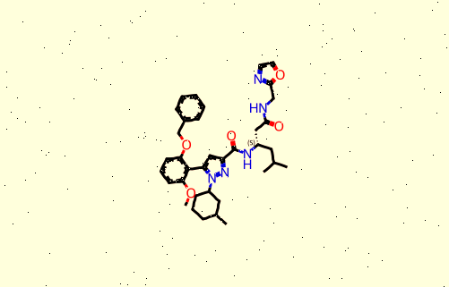 COc1cccc(OCc2ccccc2)c1-c1cc(C(=O)N[C@H](CC(=O)NCc2ncco2)CC(C)C)nn1C1CCCC(C)C1